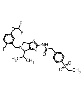 CCS(=O)(=O)c1ccc(CC(=O)Nc2nc3c(s2)CN(Cc2cc(OC(F)F)ccc2F)C3C(C)C)cc1